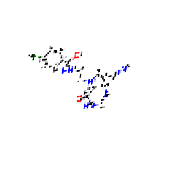 N#Cc1cn(CCNC(=O)c2ccc(F)cc2)c2c(=O)[nH]cnc12